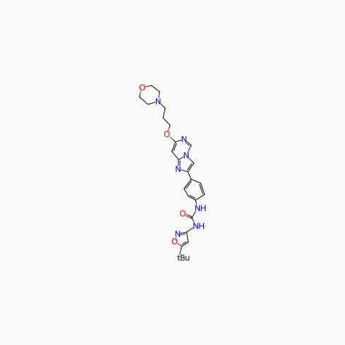 CC(C)(C)c1cc(NC(=O)Nc2ccc(-c3cn4cnc(OCCCN5CCOCC5)cc4n3)cc2)no1